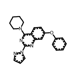 c1ccc(Oc2ccc3c(N4CCCCC4)nc(-n4cccn4)nc3c2)cc1